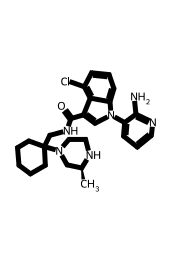 C[C@H]1CN(C2(CNC(=O)c3cn(-c4cccnc4N)c4cccc(Cl)c34)CCCCC2)CCN1